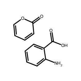 Nc1ccccc1C(=O)O.O=c1cccco1